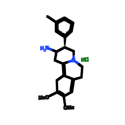 COC1=C(OC)CC2=C3CC(N)[C@H](c4cccc(C)c4)CN3CCC2=C1.Cl